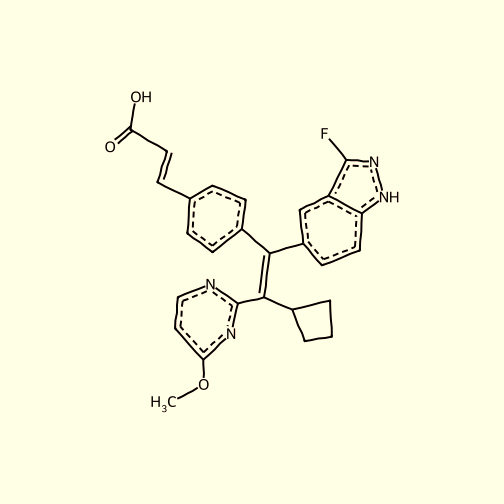 COc1ccnc(/C(=C(\c2ccc(/C=C/C(=O)O)cc2)c2ccc3[nH]nc(F)c3c2)C2CCC2)n1